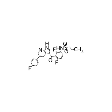 CCCS(=O)(=O)Nc1ccc(F)c(C(=O)c2c[nH]c3ncc(-c4ccc(F)cc4)cc23)c1F